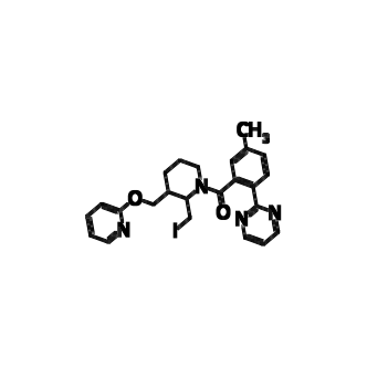 Cc1ccc(-c2ncccn2)c(C(=O)N2CCCC(COc3ccccn3)C2CI)c1